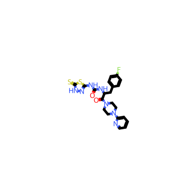 O=C(Nc1n[nH]c(=S)s1)NC(Cc1ccc(F)cc1)C(=O)N1CCN(c2ccccn2)CC1